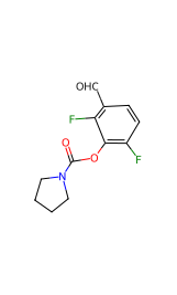 O=Cc1ccc(F)c(OC(=O)N2CCCC2)c1F